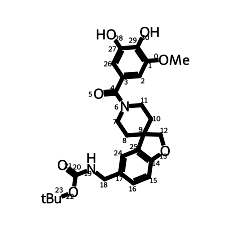 COc1cc(C(=O)N2CCC3(CC2)COc2ccc(CNC(=O)OC(C)(C)C)cc23)cc(O)c1O